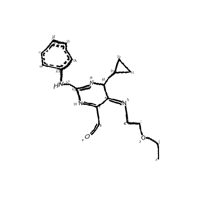 CCOCCN=C1C(C=O)=NC(Nc2ccccc2)=NC1C1CC1